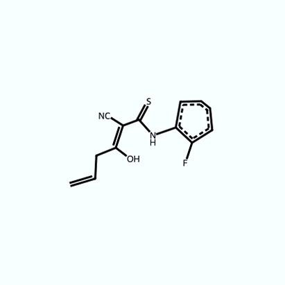 C=CCC(O)=C(C#N)C(=S)Nc1ccccc1F